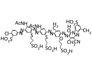 CC(=O)Nc1cc(N=Nc2cc(SCCCS(=O)(=O)O)c(N=Nc3cc(OCCCS(=O)(=O)O)c(N=Nc4c(C)c(C#N)c5nc6c(C)cc(S(=O)(=O)O)cc6n5c4O)cc3C)cc2NC(C)=O)c(SCCCS(=O)(=O)O)cc1N=Nc1ccc(Cl)c(S(=O)(=O)O)c1